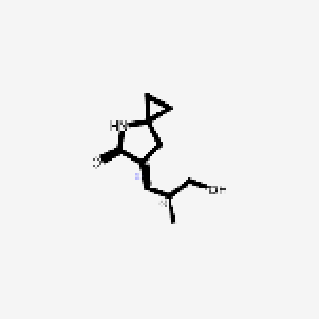 C[C@@H](/C=C1\CC2(CC2)NC1=O)CO